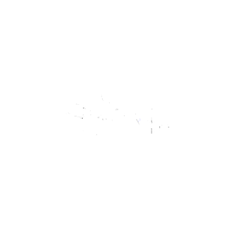 C[C@H](C/C=C/S(=O)(=O)C(C)(C)C)C1=CC[C@H]2C(=O)CCC[C@]12C